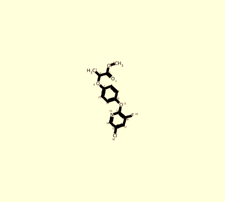 COC(=O)C(C)Oc1ccc(Oc2ncc(Cl)cc2F)cc1